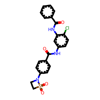 O=C(Nc1ccc(Cl)c(NC(=O)c2ccccc2)c1)c1ccc(N2CCS2(=O)=O)cc1